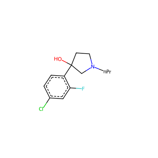 CCCN1CCC(O)(c2ccc(Cl)cc2F)C1